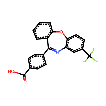 O=C(O)c1ccc(C2=Nc3cc(C(F)(F)F)ccc3Oc3ccccc32)cc1